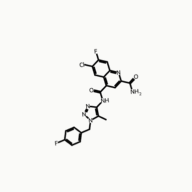 Cc1c(NC(=O)c2cc(C(N)=O)nc3cc(F)c(Cl)cc23)nnn1Cc1ccc(F)cc1